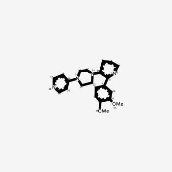 COc1ccc(-c2ncccc2N2CCN(c3ccncc3)CC2)cc1OC